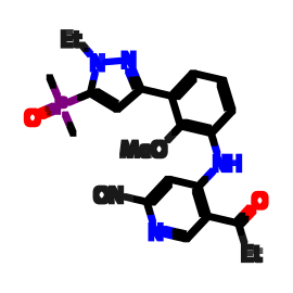 CCC(=O)c1cnc(N=O)cc1Nc1cccc(-c2cc(P(C)(C)=O)n(CC)n2)c1OC